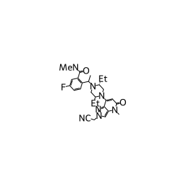 CC[C@H]1CN(C(C)c2ccc(F)cc2C(=O)NC)[C@H](CC)CN1c1cc(=O)n(C)c2cn(CC#N)nc12